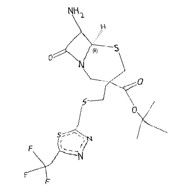 CC(C)(C)OC(=O)C1(CSc2nnc(C(F)(F)F)s2)CS[C@@H]2C(N)C(=O)N2C1